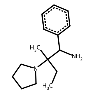 CCC(C)(C(N)c1ccccc1)N1CCCC1